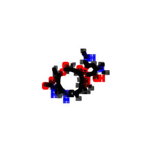 CC[C@H]1OC(=O)[C@H](C)C(=O)[C@H](C)[C@@H](O[C@@H]2OC(CNC)CC(N(C)C)C2O)[C@](C)(OC)C[C@@H](C)CN[C@H](C)[C@H]2NC(=O)O[C@@]21C